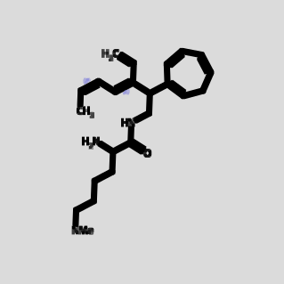 C=C/C(=C\C=C/C)C(CNC(=O)C(N)CCCCNC)C1=CCC=CC=C1